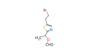 CC(OC=O)c1ncc(CCBr)s1